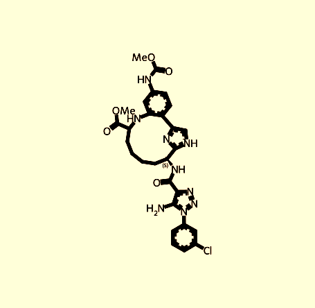 COC(=O)Nc1ccc2c(c1)NC(C(=O)OC)CCCC[C@H](NC(=O)c1nnn(-c3cccc(Cl)c3)c1N)c1nc-2c[nH]1